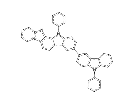 c1ccc(-n2c3ccccc3c3cc(-c4ccc5c(c4)c4ccc6c(nc7ccccn76)c4n5-c4ccccc4)ccc32)cc1